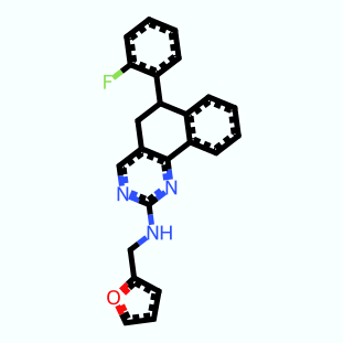 Fc1ccccc1C1Cc2cnc(NCc3ccco3)nc2-c2ccccc21